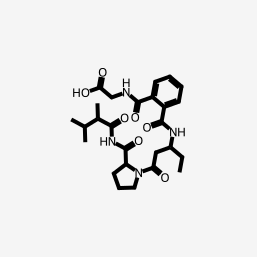 CCC(CC(=O)N1CCCC1C(=O)NC(=O)C(C)C(C)C)NC(=O)c1ccccc1C(=O)NCC(=O)O